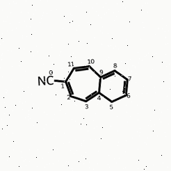 N#CC1=CC=C2CC=CC=C2C=C1